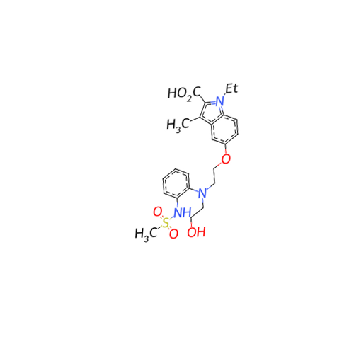 CCn1c(C(=O)O)c(C)c2cc(OCCN(CCO)c3ccccc3NS(C)(=O)=O)ccc21